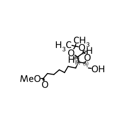 COC(=O)CCCCCC[C@H]1[C@H]2OC(C)(C)O[C@H]2O[C@@H]1CO